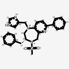 CS(=O)(=O)N1Cc2nc(-c3ccccc3)ccc2N(Cc2c[nH]cn2)C[C@H]1Cc1ccccc1